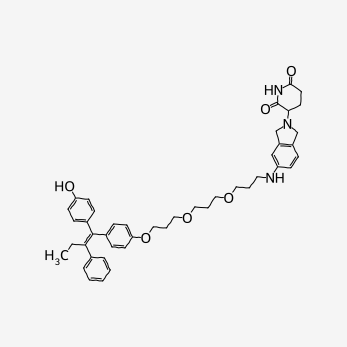 CCC(=C(c1ccc(O)cc1)c1ccc(OCCCOCCCOCCCNc2ccc3c(c2)CN(C2CCC(=O)NC2=O)C3)cc1)c1ccccc1